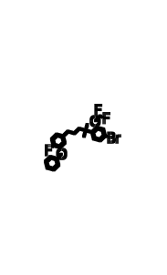 CC(C)(CCCc1ccc(F)c(Oc2ccccc2)c1)c1ccc(Br)cc1OC(F)F